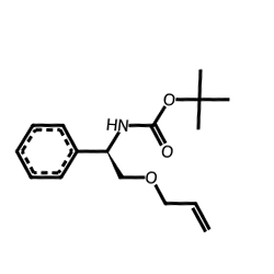 C=CCOC[C@H](NC(=O)OC(C)(C)C)c1ccccc1